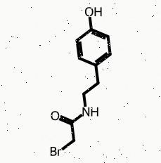 O=C(CBr)NCCc1ccc(O)cc1